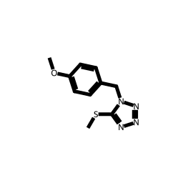 COc1ccc(Cn2nnnc2SC)cc1